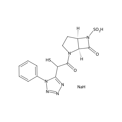 O=C(C(S)c1nnnn1-c1ccccc1)N1CC[C@@H]2[C@H]1C(=O)N2S(=O)(=O)O.[NaH]